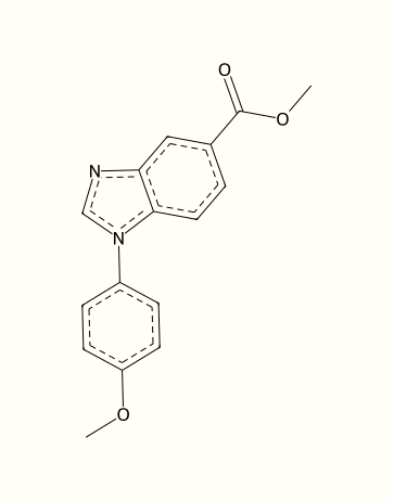 COC(=O)c1ccc2c(c1)ncn2-c1ccc(OC)cc1